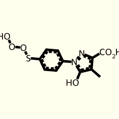 Cc1c(C(=O)O)nn(-c2ccc(SOOO)cc2)c1O